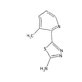 Cc1cccnc1-c1nnc(N)s1